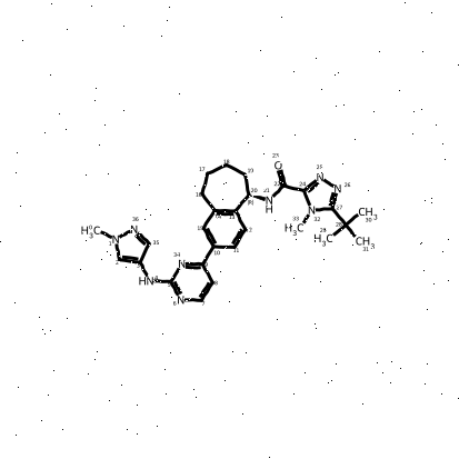 Cn1cc(Nc2nccc(-c3ccc4c(c3)CCCC[C@H]4NC(=O)c3nnc(C(C)(C)C)n3C)n2)cn1